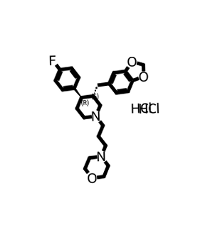 Cl.Cl.Fc1ccc([C@@H]2CCN(CCCN3CCOCC3)C[C@H]2Cc2ccc3c(c2)OCO3)cc1